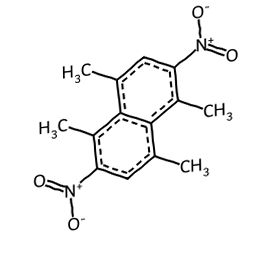 Cc1cc([N+](=O)[O-])c(C)c2c(C)cc([N+](=O)[O-])c(C)c12